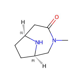 CN1C[C@H]2CC[C@@H](CC1=O)N2